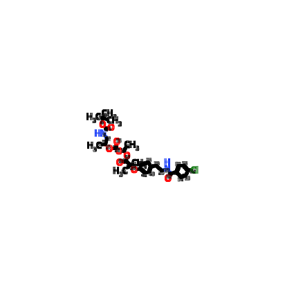 CC(CNC(=O)OC(C)(C)C)OC(=O)OC(C)OC(=O)C(C)(C)Oc1ccc(CCNC(=O)c2ccc(Cl)cc2)cc1